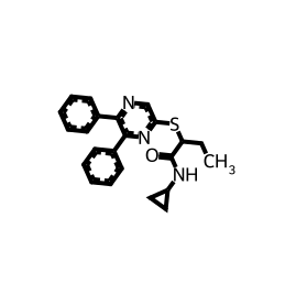 CCC(Sc1cnc(-c2ccccc2)c(-c2ccccc2)n1)C(=O)NC1CC1